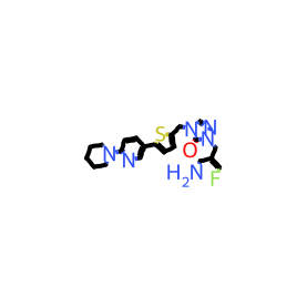 NC/C(=C\F)Cn1ncn(Cc2ccc(-c3ccc(N4CCCCC4)nc3)s2)c1=O